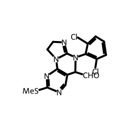 CSc1ncc2c(n1)N1CCN=C1N(c1c(Cl)cccc1Cl)C2C=O